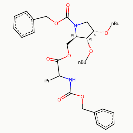 CCCCO[C@H]1[C@@H](OCCCC)CN(C(=O)OCc2ccccc2)[C@@H]1COC(=O)C(NC(=O)OCc1ccccc1)C(C)C